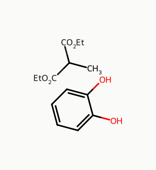 CCOC(=O)C(C)C(=O)OCC.Oc1ccccc1O